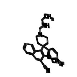 CCNCN1CCC(c2ccc(F)cc2)(c2c(OC)c(C#N)cc3ccccc23)CC1